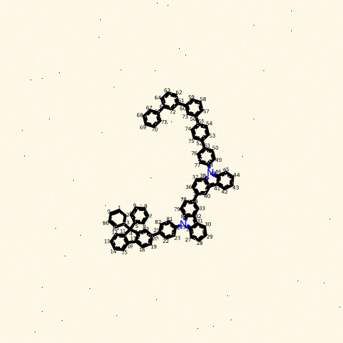 C1=CCC(C2(c3ccccc3)c3ccccc3-c3ccc(-c4ccc(-n5c6ccccc6c6cc(-c7ccc8c(c7)c7ccccc7n8-c7ccc(-c8ccc(-c9cccc(-c%10cccc(-c%11ccccc%11)c%10)c9)cc8)cc7)ccc65)cc4)cc32)C=C1